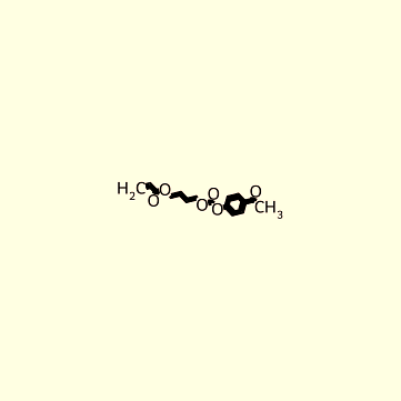 C=CC(=O)OCCCCOC(=O)Oc1ccc(C(C)=O)cc1